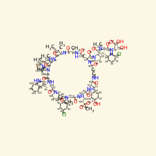 CC[C@H](C)/C1=N/C(=O)[C@H](C)NC(=O)C/C(C(=O)N2CCC[C@H]2C(=O)N(C)[C@@H](Cc2cccc(Cl)c2)C(=O)N[C@@H](CO)C(=O)O)=N\C(=O)CCNC(=O)[C@@H](Cc2ccc(O)cc2)NC(=O)[C@H](CCS(C)(=O)=O)NC(=O)[C@H](Cc2cccc(Cl)c2)N(C)C(=O)[C@@H]2CCCN2C(=O)[C@H](Cc2c[nH]c3ccccc23)NC(=O)[C@H](Cc2cscn2)N(C)C(=O)C([C@@H](C)CC)NC1=O